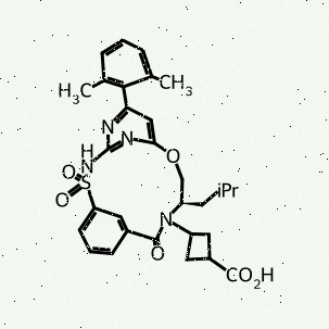 Cc1cccc(C)c1-c1cc2nc(n1)NS(=O)(=O)c1cccc(c1)C(=O)N(C1CC(C(=O)O)C1)[C@H](CC(C)C)CO2